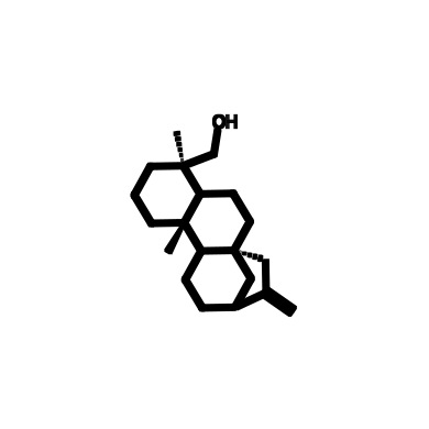 C=C1C[C@@]23CCC4[C@](C)(CO)CCC[C@@]4(C)C2CCC1C3